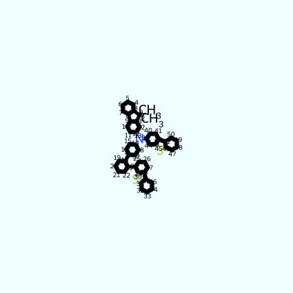 CC1(C)c2ccccc2-c2ccc(N(c3ccc(-c4ccccc4-c4cccc5c4sc4ccccc45)cc3)c3ccc4c(c3)sc3ccccc34)cc21